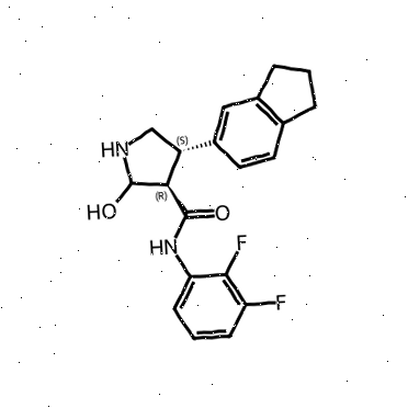 O=C(Nc1cccc(F)c1F)[C@H]1C(O)NC[C@@H]1c1ccc2c(c1)CCC2